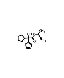 C#CC(C)OC(=O)C(O)(c1cccs1)C1CCCC1